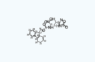 O=C(N[C@@H](CCc1noc(=O)[nH]1)C(=O)O)OCC1C2=C(CCC=C2)c2ccccc21